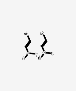 CCN(C=CC#N)CC.CCN(C=CC#N)CC